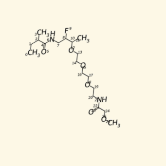 CCC(C)C(=O)NCC(F)C(C)OCCOCCOCCNC(=O)COC